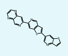 c1cnc2cc(-c3cc4sc(-c5cnc6ccsc6c5)cc4cn3)ncc2n1